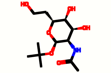 CC(=O)N[C@H]1[C@@H](OC(C)(C)C)O[C@H](CCO)[C@H](O)[C@@H]1O